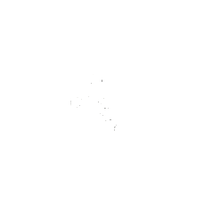 COC(=O)C(=O)N(C(=O)N1CC(C)(c2ccccc2)C(c2ccc(Cl)cc2)=N1)c1ccc(Br)cc1